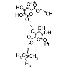 C#CCOC(=O)C1O[C@@H](OCCCO[C@@H]2C(C(=O)OCC#C[Si](C)(C)C)O[C@@H](OC(C)C)[C@@H](O)[C@H]2O)[C@@H](O)[C@@H](O)[C@@H]1OC(C)C